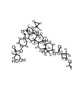 CC(CO)(CO)C(=O)ON1CCN(C(=O)[C@]23CC[C@@H](C4(C)CC4)[C@@H]2[C@H]2CC[C@@H]4[C@@]5(C)CC[C@H](OC(=O)[C@H]6C[C@@H](OC=O)C6(C)C)C(C)(C)[C@@H]5CC[C@@]4(C)[C@]2(C)CC3)CC1